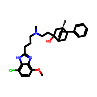 COc1ccc(Cl)c2[nH]c(CCCN(C)CC[C@]3(O)C[C@H]4CCC3C=C4c3ccccc3)nc12